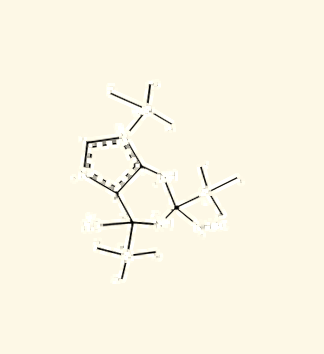 CC(=O)NC1([Si](C)(C)C)Nc2c(ncn2[Si](C)(C)C)C(O)([Si](C)(C)C)N1